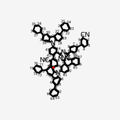 N#Cc1cccc(-c2ccc(-c3nc(-c4cc(-n5c6ccc(-c7ccccc7)cc6c6cc(-c7ccccc7)ccc65)ccc4-c4ccccc4C#N)nc(-c4cc(-n5c6ccc(-c7ccccc7)cc6c6cc(-c7ccccc7)ccc65)ccc4-c4ccccc4C#N)n3)cc2)c1